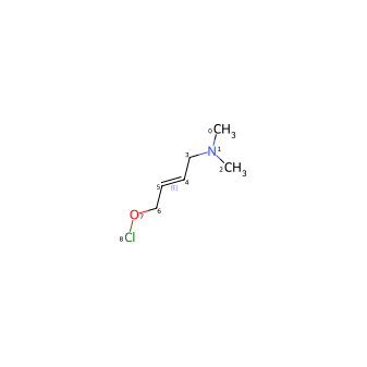 CN(C)C/C=C/COCl